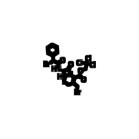 O=C(OCC(Cl)(Cl)Cl)C1=C(CBr)CS[C@@H]2[C@H](NC(=O)C(Br)c3ccccc3)C(=O)N12